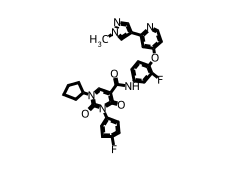 Cn1cc(-c2cc(Oc3ccc(NC(=O)c4cn(C5CCCC5)c(=O)n(-c5ccc(F)cc5)c4=O)cc3F)ccn2)cn1